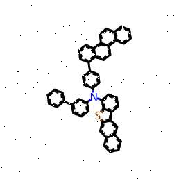 c1ccc(-c2cccc(N(c3ccc(-c4cccc5c4ccc4c6ccccc6ccc54)cc3)c3cccc4c3sc3cc5ccccc5cc34)c2)cc1